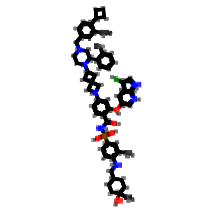 COc1cc(CN2CCN(C3CC4(C3)CN(c3ccc(C(=O)NS(=O)(=O)c5ccc(NCC6CCC(C)(O)CC6)c([N+](=O)[O-])c5)c(Oc5cnc6[nH]cc(F)c6c5)c3)C4)[C@H](c3ccccc3C(C)C)C2)ccc1C1CCC1